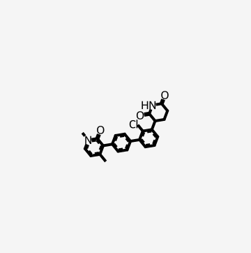 Cc1ccn(C)c(=O)c1-c1ccc(-c2cccc(C3CCC(=O)NC3=O)c2Cl)cc1